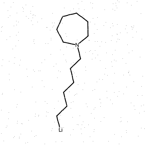 [Li][CH2]CCCCCN1CCCCCC1